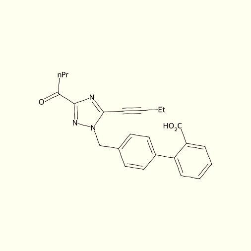 CCC#Cc1nc(C(=O)CCC)nn1Cc1ccc(-c2ccccc2C(=O)O)cc1